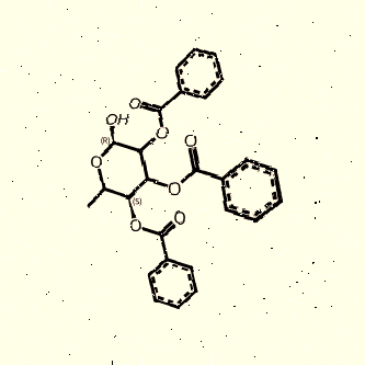 CC1O[C@@H](O)C(OC(=O)c2ccccc2)C(OC(=O)c2ccccc2)[C@H]1OC(=O)c1ccccc1